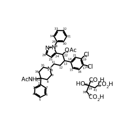 CC(=O)NC1(c2ccccc2)CCN(CCC(c2ccc(Cl)c(Cl)c2)C(OC(C)=O)c2ccnn2-c2ccccc2)CC1.O=C(O)CC(O)(CC(=O)O)C(=O)O